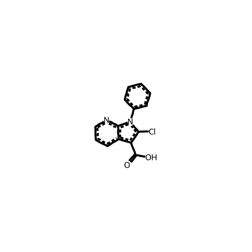 O=C(O)c1c(Cl)n(-c2ccccc2)c2ncccc12